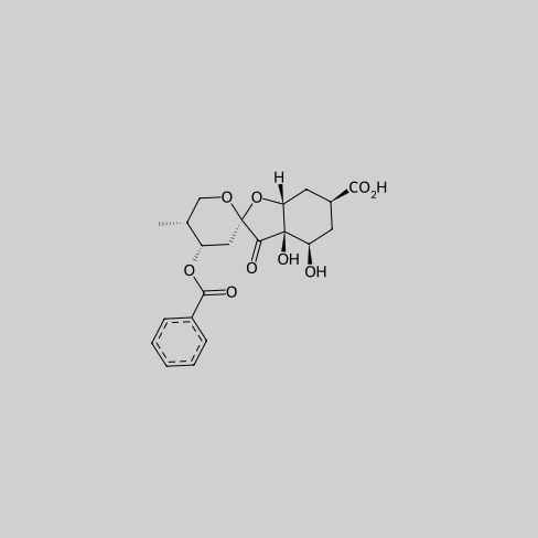 C[C@@H]1CO[C@@]2(C[C@@H]1OC(=O)c1ccccc1)O[C@@H]1C[C@@H](C(=O)O)C[C@@H](O)[C@]1(O)C2=O